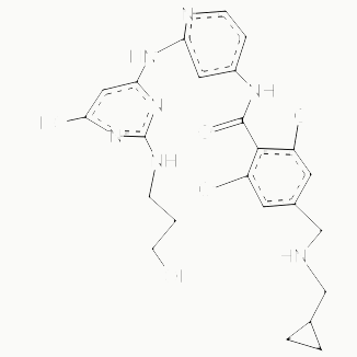 Cc1cc(Nc2cc(NC(=O)c3c(Cl)cc(CNCC4CC4)cc3Cl)ccn2)nc(NCCCO)n1